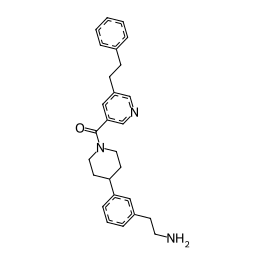 NCCc1cccc(C2CCN(C(=O)c3cncc(CCc4ccccc4)c3)CC2)c1